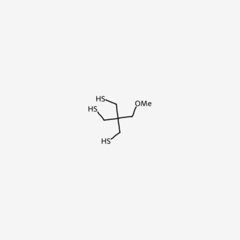 COCC(CS)(CS)CS